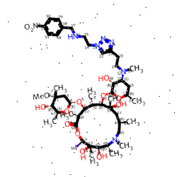 CO[C@]1(C)C[C@H](O[C@H]2[C@H](C)[C@@H](O[C@@H]3O[C@H](C)C[C@H](N(C)CCc4cn(CCNCc5ccc([N+](=O)[O-])cc5)nn4)[C@H]3O)[C@](C)(O)C[C@@H](C)CN(C)[C@H](C)[C@@H](O)[C@](C)(O)[C@@H](I)OC(=O)[C@@H]2C)O[C@@H](C)[C@@H]1O